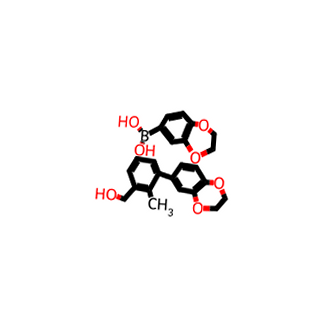 Cc1c(CO)cccc1-c1ccc2c(c1)OCCO2.OB(O)c1ccc2c(c1)OCCO2